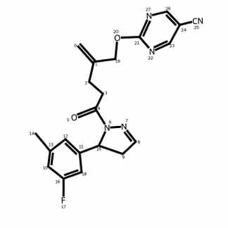 C=C(CCC(=O)N1N=CCC1c1cc(C)cc(F)c1)COc1ncc(C#N)cn1